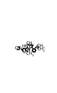 Cc1nnc(N[C@H](C)c2ccc(-c3ccccc3CN(C)C)s2)c2cc(N3CC4CC3CO4)cnc12